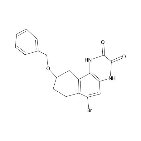 O=c1[nH]c2cc(Br)c3c(c2[nH]c1=O)CC(OCc1ccccc1)CC3